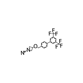 N#CN1CC(OCc2ccc(-c3cc(C(F)(F)F)cc(C(F)(F)F)c3)cc2)C1